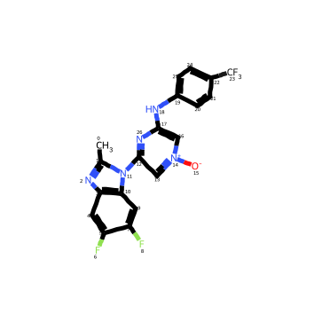 Cc1nc2cc(F)c(F)cc2n1-c1c[n+]([O-])cc(Nc2ccc(C(F)(F)F)cc2)n1